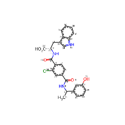 CC(NC(=O)c1ccc(C(=O)N[C@@H](Cc2c[nH]c3ccccc23)C(=O)O)c(Cl)c1)c1cccc(O)c1